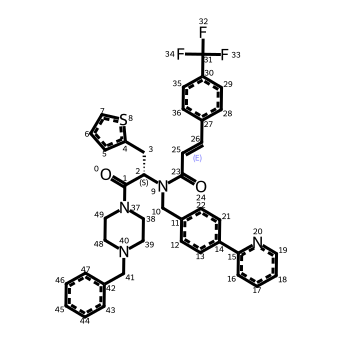 O=C([C@H](Cc1cccs1)N(Cc1ccc(-c2ccccn2)cc1)C(=O)/C=C/c1ccc(C(F)(F)F)cc1)N1CCN(Cc2ccccc2)CC1